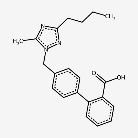 CCCCc1nc(C)n(Cc2ccc(-c3ccccc3C(=O)O)cc2)n1